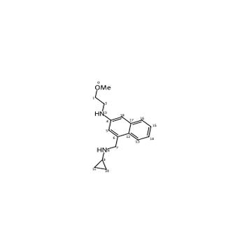 COCCNc1cc(CNC2CC2)c2ccccc2c1